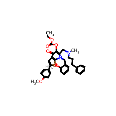 CCOC(=O)Oc1c(CN(C)CCCc2ccccc2)n(Cc2ccccc2OC)c2sc(-c3ccc(OC)cc3)cc2c1=O